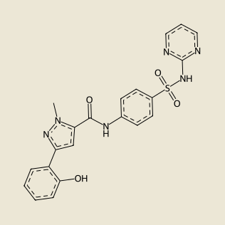 Cn1nc(-c2ccccc2O)cc1C(=O)Nc1ccc(S(=O)(=O)Nc2ncccn2)cc1